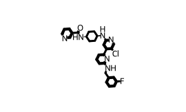 O=C(N[C@H]1CC[C@H](Nc2cc(-c3cccc(NCc4cccc(F)c4)n3)c(Cl)cn2)CC1)c1cccnc1